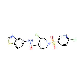 O=C(Nc1ccc2scnc2c1)C1CCN(S(=O)(=O)c2ccc(Cl)nc2)CC1F